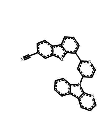 N#Cc1ccc2c(c1)oc1c(-c3cc(-n4c5ccccc5c5cccnc54)ccn3)cccc12